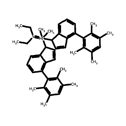 CC[Si](CC)=[Hf]([CH3])([CH3])([CH]1C=Cc2c(-c3c(C)c(C)cc(C)c3C)cccc21)[CH]1C=Cc2c(-c3c(C)c(C)cc(C)c3C)cccc21